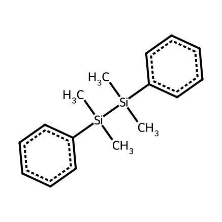 C[Si](C)(c1ccccc1)[Si](C)(C)c1ccccc1